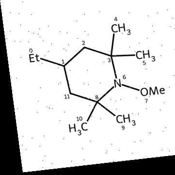 CCC1CC(C)(C)N(OC)C(C)(C)C1